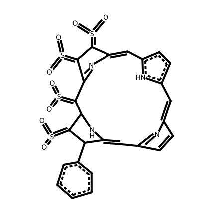 O=S(=O)=C1C2=Cc3ccc([nH]3)C=C3C=CC(=N3)C=C3NC(C(=S(=O)=O)C(=N2)C1=S(=O)=O)C(=S(=O)=O)C3c1ccccc1